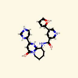 O=C(NC1CCCCn2c1nc(-c1ccncn1)cc2=O)c1cncc(-c2ccco2)c1